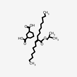 CCCCCCCC=C(CCCCCCCCC)C(=O)OCC(C)C.O=C(O)C1CCCC(C(=O)O)C1